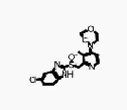 Cc1c(N2CCOCC2)ccnc1C[S+]([O-])c1nc2cc(Cl)ccc2[nH]1